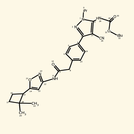 CC(C)n1nc(-c2ccc(CC(=O)Nc3cc(C4CCC4(C)C)on3)cc2)c(C#N)c1NC(=O)OC(C)(C)C